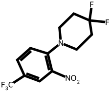 O=[N+]([O-])c1cc(C(F)(F)F)ccc1N1CCC(F)(F)CC1